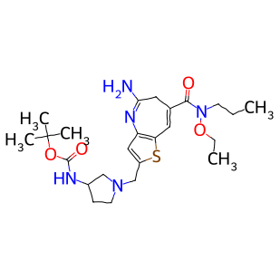 CCCN(OCC)C(=O)C1=Cc2sc(CN3CCC(NC(=O)OC(C)(C)C)C3)cc2N=C(N)C1